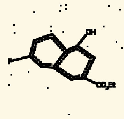 CCOC(=O)c1cc(O)c2ccc(F)cc2c1